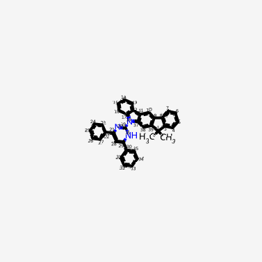 CC1(C)c2ccccc2-c2cc3c4ccccc4n(C4=NC(c5ccccc5)=CC(c5ccccc5)N4)c3cc21